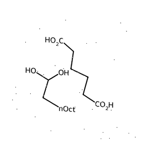 CCCCCCCCCC(O)O.O=C(O)CCCCC(=O)O